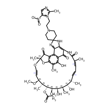 CO[C@H]1/C=C/O[C@@]2(C)Oc3c(C)c(O)c4c(c3C2=O)C2=NC3(CCN(CCn5c([N+](=O)[O-])cnc5C)CC3)NC2=C(NC(=O)/C(C)=C\C=C\[C@H](C)[C@H](O)[C@@H](C)[C@@H](O)[C@@H](C)[C@H](OC(C)=O)[C@@H]1C)C4=O